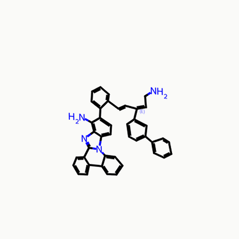 NC/C=C(\C=Cc1ccccc1-c1ccc2c(nc3c4ccccc4c4ccccc4n23)c1N)c1cccc(-c2ccccc2)c1